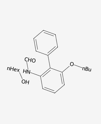 CCCCCCO.CCCCOc1cccc(NC=O)c1-c1ccccc1